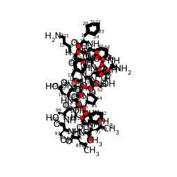 CC(C)C[C@H](NC(=O)[C@H](CCCCN)NC(=O)[C@H](Cc1ccccc1)NC(=O)CNC(=O)[C@@H]1CCCN1)C(=O)N[C@@H](Cc1ccccc1)C(=O)N[C@@H](CO)C(=O)N[C@@H](CS)C(=O)N1CCC[C@H]1C(=O)N[C@@H](CO)C(=O)N[C@@H](CC(C)C)C(=O)N[C@@H](CC(C)C)C(=O)N[C@@H](CO)C(=O)N[C@@H](CO)C(=O)N[C@@H](Cc1c[nH]c2ccccc12)C(=O)N[C@@H](CC(=O)O)C(=O)N[C@@H](Cc1ccc(O)cc1)C(=O)N[C@@H](CCCNC(=N)N)C(=O)O